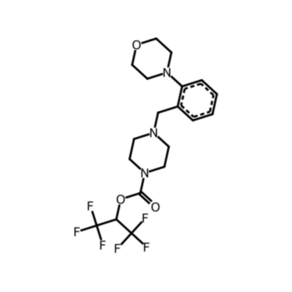 O=C(OC(C(F)(F)F)C(F)(F)F)N1CCN(Cc2ccccc2N2CCOCC2)CC1